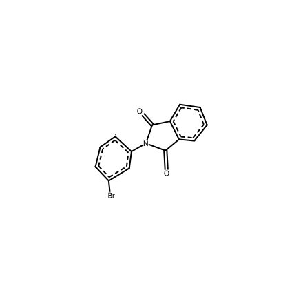 O=C1c2ccccc2C(=O)N1c1[c]ccc(Br)c1